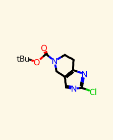 CC(C)(C)OC(=O)N1CCc2nc(Cl)ncc2C1